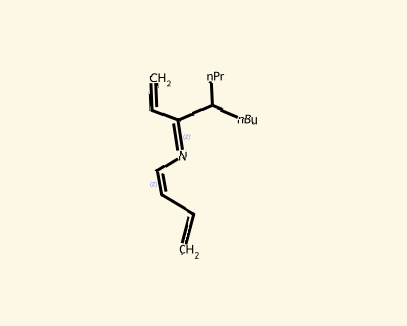 C=C/C=C\N=C(/C=C)C(CCC)CCCC